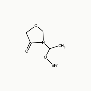 CCCOC(C)N1COCC1=O